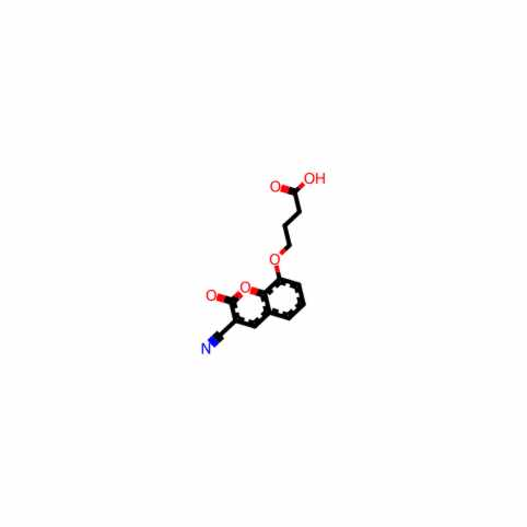 N#Cc1cc2cccc(OCCCC(=O)O)c2oc1=O